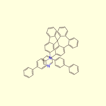 c1ccc(-c2ccc(N(c3ccc(-c4ccccc4)cc3)c3ccc4c(c3)C3(c5ccccc5-c5ccccc5-c5ccc(-c6cccnc6)cc53)c3ccccc3-4)cc2)cc1